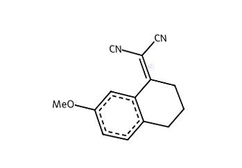 [C-]#[N+]/C(C#N)=C1/CCCc2ccc(OC)cc21